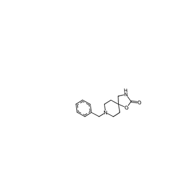 O=C1NCC2(CCN(Cc3ccccc3)CC2)O1